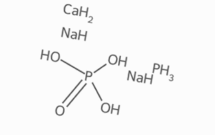 O=P(O)(O)O.P.[CaH2].[NaH].[NaH]